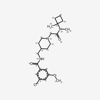 COc1cc(Cl)cc(C(=O)NCC2CCN(CC(=O)N(C)C3(C)CCC3)CC2)c1